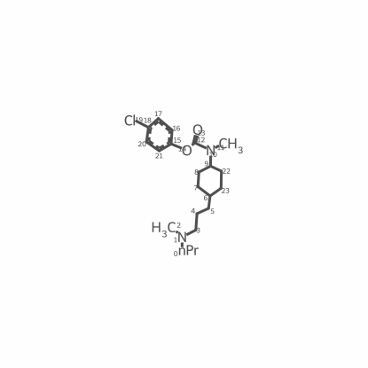 CCCN(C)CCCC1CCC(N(C)C(=O)Oc2ccc(Cl)cc2)CC1